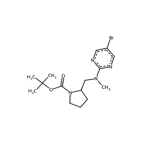 CN(CC1CCCN1C(=O)OC(C)(C)C)c1ncc(Br)cn1